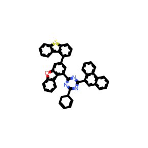 C1=CCC(c2nc(-c3cc4ccccc4c4ccccc34)nc(-c3cc(-c4cccc5sc6ccccc6c45)cc4oc5ccccc5c34)n2)C=C1